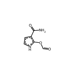 NC(=O)c1cc[nH]c1OC=O